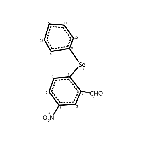 O=Cc1cc([N+](=O)[O-])ccc1[Se]c1ccccc1